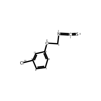 S=C=NCOc1cccc(Cl)c1